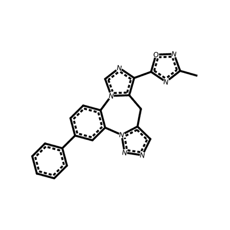 Cc1noc(-c2ncn3c2Cc2cnnn2-c2cc(-c4ccccc4)ccc2-3)n1